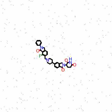 O=C1CCC(N2Cc3cc(C4CCN(Cc5ccc6c(c5F)C(=O)N(c5ccccc5)C6)CC4)ccc3C2=O)C(=O)N1